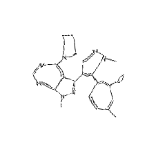 Cc1ccc(-c2c(-c3nn(C)c4ncnc(N5CCC5)c34)cnn2C)c(Cl)c1